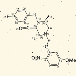 COc1ccc([N+](=O)[O-])c(OCN2C[C@H](C)N(Cc3ccc(F)cc3)C(=C=O)[C@H]2C)c1